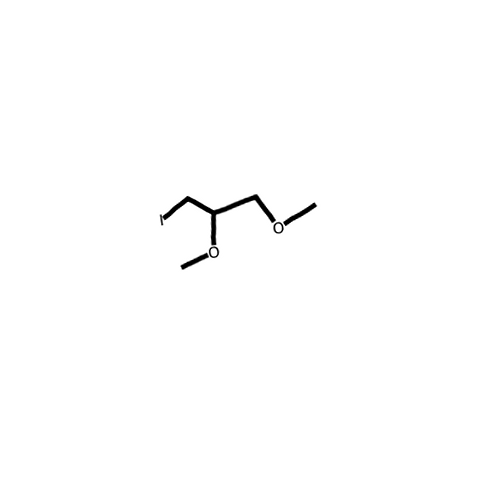 COCC(CI)OC